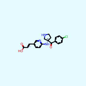 O=C(O)/C=C/c1ccc(N[C@@]2(C(=O)c3ccc(Cl)cc3)CCNC2)nc1